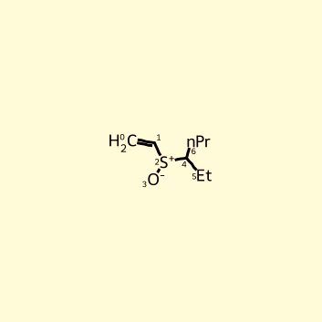 C=C[S+]([O-])C(CC)CCC